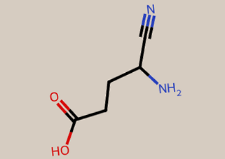 N#CC(N)CCC(=O)O